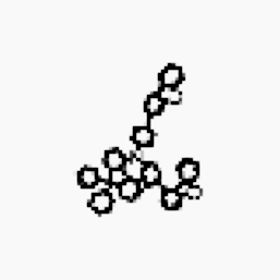 c1ccc(C2(c3ccccc3)c3ccccc3-c3c(N(c4ccc(-c5ccc6c(c5)oc5ccccc56)cc4)c4ccc(-c5cccc6oc7ccccc7c56)cc4)cccc32)cc1